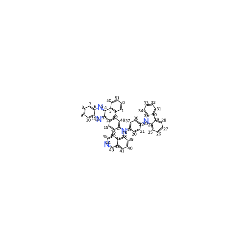 c1ccc(-c2nc3ccccc3nc2-c2ccc(N(c3ccc(-n4c5ccccc5c5ccccc54)cc3)c3cccc4cnccc34)cc2)cc1